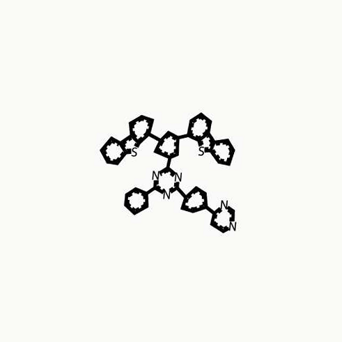 c1ccc(-c2nc(-c3ccc(-c4ccncn4)cc3)nc(-c3cc(-c4cccc5c4sc4ccccc45)cc(-c4cccc5c4sc4ccccc45)c3)n2)cc1